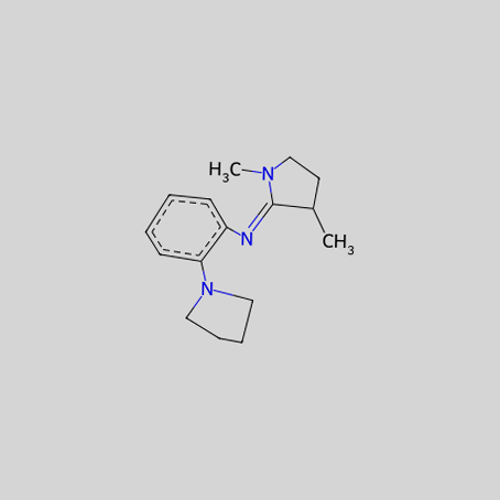 CC1CCN(C)C1=Nc1ccccc1N1CCCC1